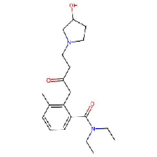 CCN(CC)C(=O)c1cccc(C)c1CC(=O)CCN1CCC(O)C1